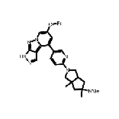 CCOc1cc(-c2ccc(N3CC4C[C@@](C)(NC)CC4(C)C3)nc2)c2c3cn[nH]c3nn2c1